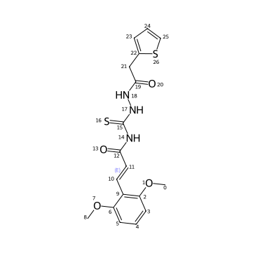 COc1cccc(OC)c1/C=C/C(=O)NC(=S)NNC(=O)Cc1cccs1